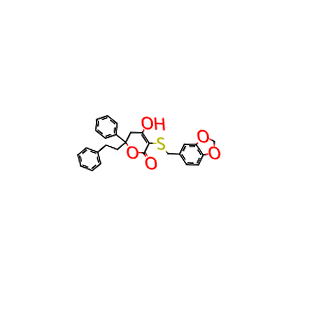 O=C1OC(CCc2ccccc2)(c2ccccc2)CC(O)=C1SCc1ccc2c(c1)OCO2